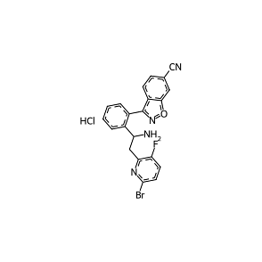 Cl.N#Cc1ccc2c(-c3ccccc3C(N)Cc3nc(Br)ccc3F)noc2c1